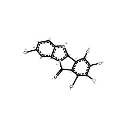 O=C1c2c(Cl)c(Cl)c(Cl)c(Cl)c2-c2nc3ccc(Cl)cc3n21